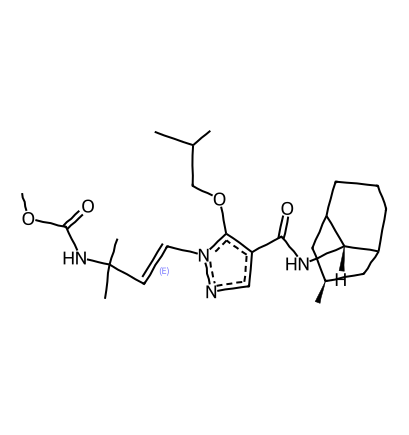 COC(=O)NC(C)(C)/C=C/n1ncc(C(=O)N[C@H]2C3CCCC2C[C@H](C)C3)c1OCC(C)C